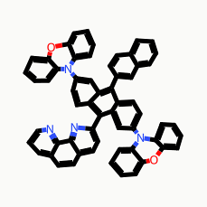 c1ccc2c(c1)Oc1ccccc1N2c1ccc2c(-c3ccc4ccc5cccnc5c4n3)c3cc(N4c5ccccc5Oc5ccccc54)ccc3c(-c3ccc4ccccc4c3)c2c1